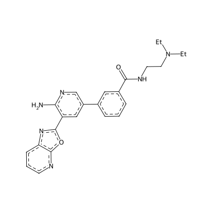 CCN(CC)CCNC(=O)c1cccc(-c2cnc(N)c(-c3nc4cccnc4o3)c2)c1